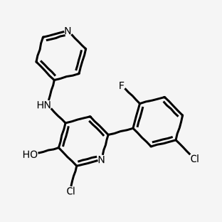 Oc1c(Nc2ccncc2)cc(-c2cc(Cl)ccc2F)nc1Cl